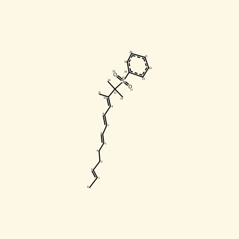 CC=CCCC=CC=CC=C(C)C(C)(C)S(=O)(=O)c1ccccc1